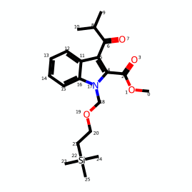 COC(=O)c1c(C(=O)C(C)C)c2ccccc2n1COCC[Si](C)(C)C